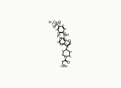 CC(C)(C)CC(=O)N1CCC(c2coc3c(Nc4ccc(S(C)(=O)=O)cc4F)ncnc23)CC1